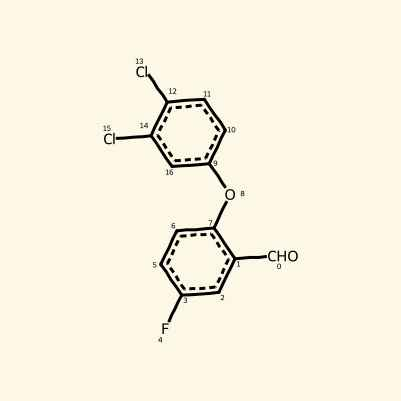 O=Cc1cc(F)ccc1Oc1ccc(Cl)c(Cl)c1